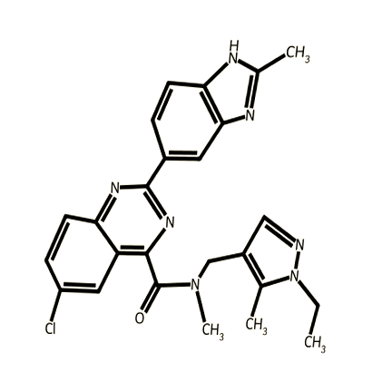 CCn1ncc(CN(C)C(=O)c2nc(-c3ccc4[nH]c(C)nc4c3)nc3ccc(Cl)cc23)c1C